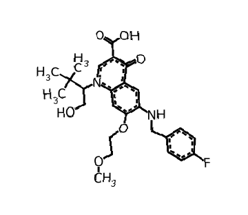 COCCOc1cc2c(cc1NCc1ccc(F)cc1)c(=O)c(C(=O)O)cn2C(CO)C(C)(C)C